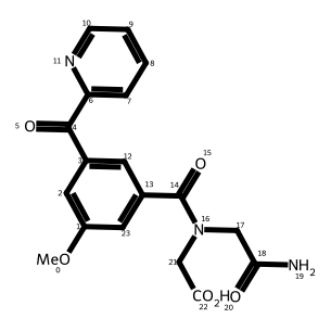 COc1cc(C(=O)c2ccccn2)cc(C(=O)N(CC(N)=O)CC(=O)O)c1